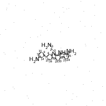 NCCCn1c2cc(-c3cccc(N)c3)ccc2c2ccc(-c3cccc(N)c3)c(N)c21